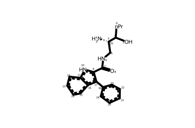 CCCC(O)[C@@H](N)CNC(=O)c1[nH]c2ccccc2c1-c1ccccc1